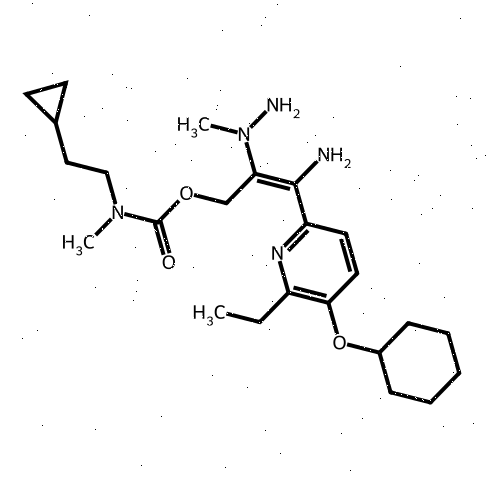 CCc1nc(/C(N)=C(\COC(=O)N(C)CCC2CC2)N(C)N)ccc1OC1CCCCC1